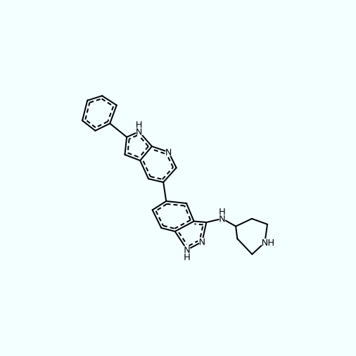 c1ccc(-c2cc3cc(-c4ccc5[nH]nc(NC6CCNCC6)c5c4)cnc3[nH]2)cc1